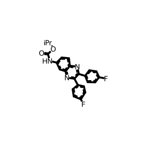 CC(C)OC(=O)Nc1ccc2nc(-c3ccc(F)cc3)c(-c3ccc(F)cc3)nc2c1